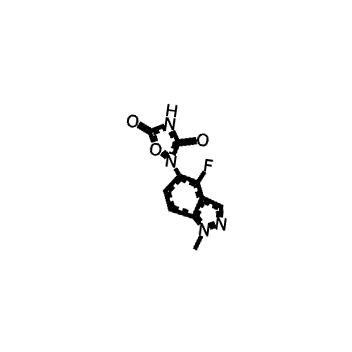 Cn1ncc2c(F)c(-n3oc(=O)[nH]c3=O)ccc21